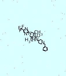 C[C@@H]1CN(c2cnc(C(F)(F)F)cn2)C[C@H](C)N1C(=O)NC1CCN(Cc2ccccc2)CC1